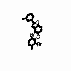 Cc1cccc(-c2cc3cc(Oc4c(Br)c[c]c(C)c4Br)ccc3o2)c1